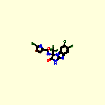 O=C(NC1(C(F)(F)F)C(=O)Nc2nc3cc(Cl)c(Cl)cc3n21)c1csc(Br)n1